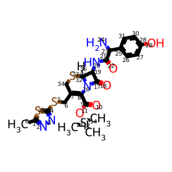 Cc1nnc(SCC2=C(C(=O)O[Si](C)(C)C)N3C(=O)C(NC(=O)C(N)c4ccc(O)cc4)[C@@H]3SC2)s1